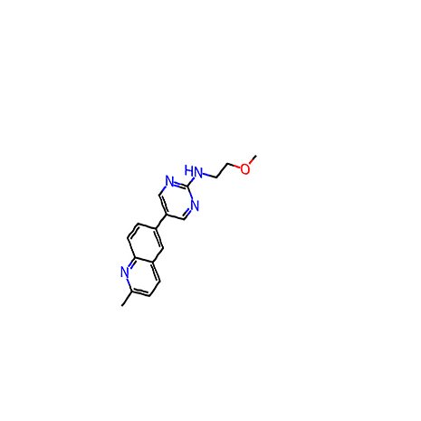 COCCNc1ncc(-c2ccc3nc(C)ccc3c2)cn1